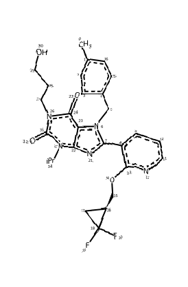 Cc1ccc(Cn2c(-c3cccnc3OC[C@@H]3CC3(F)F)nc3c2c(=O)n(CCCO)c(=O)n3C(C)C)cc1